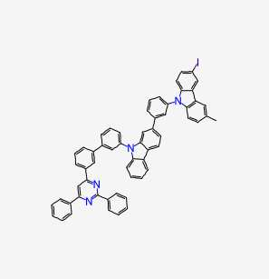 Cc1ccc2c(c1)c1cc(I)ccc1n2-c1cccc(-c2ccc3c4ccccc4n(-c4cccc(-c5cccc(-c6cc(-c7ccccc7)nc(-c7ccccc7)n6)c5)c4)c3c2)c1